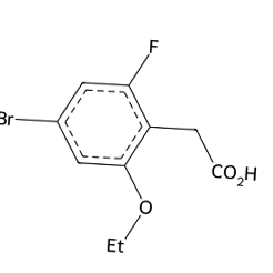 CCOc1cc(Br)cc(F)c1CC(=O)O